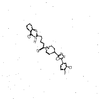 O=C(CCCc1nc2ccccc2c(=O)[nH]1)N1CCC(c2nnc(-c3ccc(F)c(Cl)c3)o2)CC1